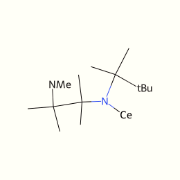 CNC(C)(C)C(C)(C)[N]([Ce])C(C)(C)C(C)(C)C